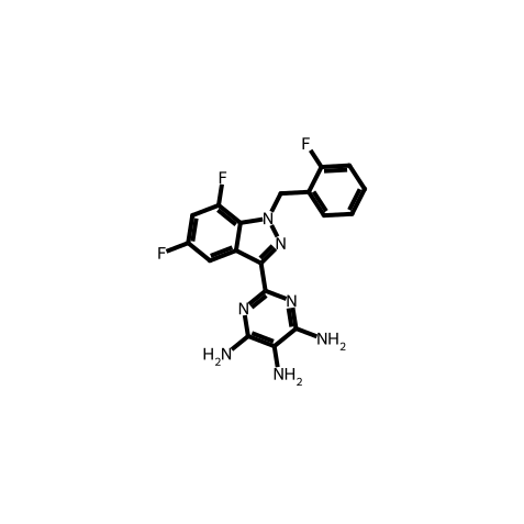 Nc1nc(-c2nn(Cc3ccccc3F)c3c(F)cc(F)cc23)nc(N)c1N